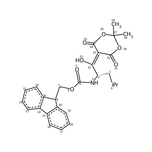 CC(C)C[C@H](NC(=O)OCC1c2ccccc2-c2ccccc21)C(O)=C1C(=O)OC(C)(C)OC1=O